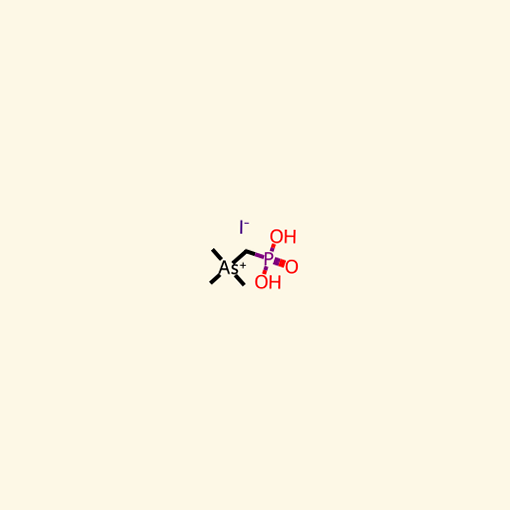 C[As+](C)(C)CP(=O)(O)O.[I-]